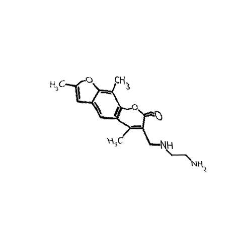 Cc1cc2cc3c(C)c(CNCCN)c(=O)oc3c(C)c2o1